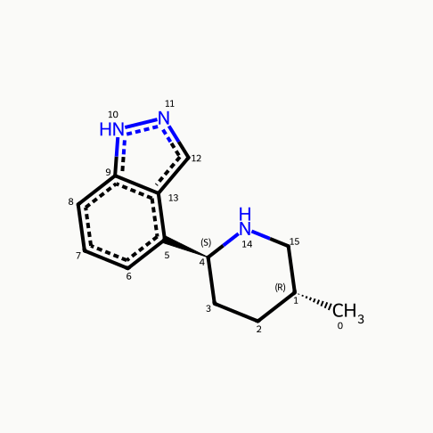 C[C@@H]1CC[C@@H](c2cccc3[nH]ncc23)NC1